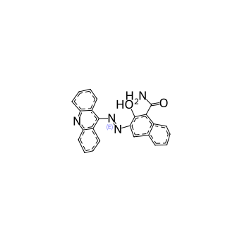 NC(=O)c1c(O)c(/N=N/c2c3ccccc3nc3ccccc23)cc2ccccc12